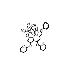 CC(C)(C)[Si](C)(C)O[C@@H]1C[C@H](OC2CCCCO2)[C@H](/C(=C\CCOc2ccccc2)OC2CCCCO2)[C@@H]1CC=O